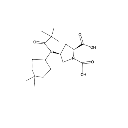 CC1(C)CCC(N(C(=O)C(C)(C)C)[C@H]2C[C@@H](C(=O)O)N(C(=O)O)C2)CC1